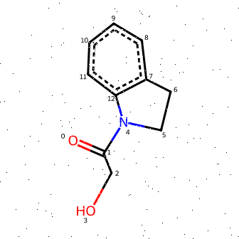 O=C(CO)N1CCc2cc[c]cc21